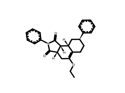 CCOC1=C2CC[C@H](c3ccccc3)C[C@H]2[C@H]2C(=O)N(c3ccccc3)C(=O)[C@H]2C1